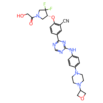 N#Cc1cc(-c2ncnc(Nc3ccc(N4CCN(C5COC5)CC4)cc3)n2)ccc1O[C@@H]1CN(C(=O)CO)CC1(F)F